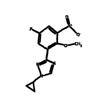 COc1c(-c2ncn(C3CC3)n2)cc(F)cc1[N+](=O)[O-]